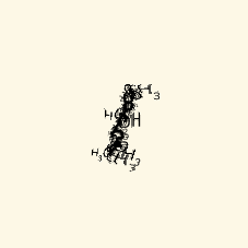 CC(C)(C)OC(=O)N1CCC(CCCC(O)(CO)c2ccc3c(c2)CCN(S(C)(=O)=O)C3)CC1